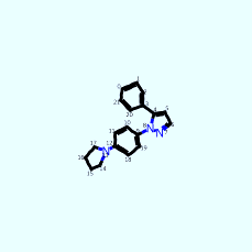 c1ccc(-c2ccnn2-c2ccc(N3CCCC3)cc2)cc1